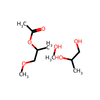 CC(O)CO.CO.COCC(C)OC(C)=O